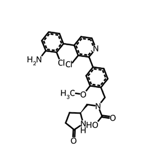 COc1cc(-c2nccc(-c3cccc(N)c3Cl)c2Cl)ccc1CN(C[C@@H]1CCC(=O)N1)C(=O)O